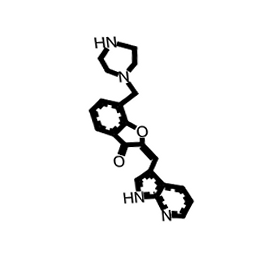 O=C1C(=Cc2c[nH]c3ncccc23)Oc2c(CN3CCNCC3)cccc21